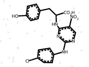 O=C(O)C(Cc1ccc(O)cc1)Nc1nc(Nc2ccc(Cl)cc2)ncc1[N+](=O)[O-]